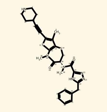 Cc1c(C#CC2CCNCC2)sc2c1SC[C@H](N(C)C(=O)c1nnc(Cc3ccccc3)[nH]1)C(=O)N2C